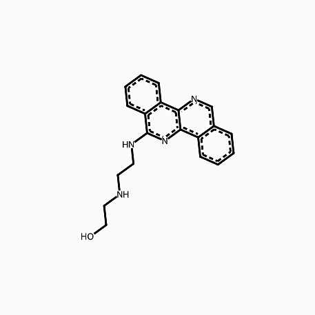 OCCNCCNc1nc2c3ccccc3cnc2c2ccccc12